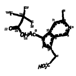 CC(=O)c1cn(CC(=O)O)c2cnc(C)cc12.O=C(O)C(F)(F)F